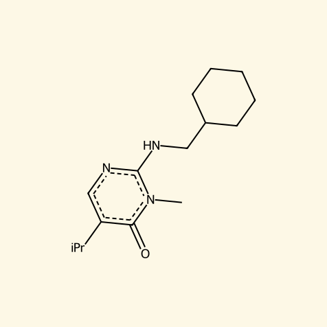 CC(C)c1cnc(NCC2CCCCC2)n(C)c1=O